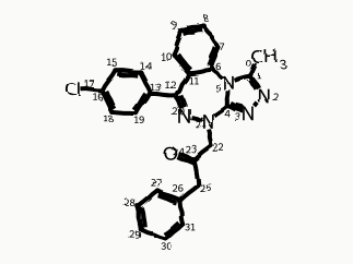 Cc1nnc2n1-c1ccccc1C(c1ccc(Cl)cc1)=NN2CC(=O)Cc1ccccc1